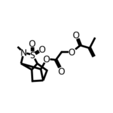 C=C(C)C(=O)OCC(=O)OC1C2CC3C1N(C)S(=O)(=O)C3C2